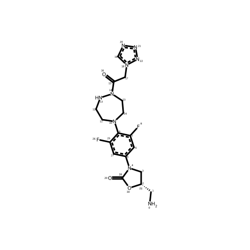 NC[C@H]1CN(c2cc(F)c(N3CCNN(C(=O)Cn4cnnn4)CC3)c(F)c2)C(=O)O1